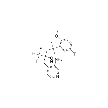 COc1ccc(F)cc1C(C)(C)CC(O)(Cc1ccncc1N)C(F)(F)F